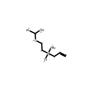 C=CC[N+](CC)(CCCC)CCOC(O)C(C)C